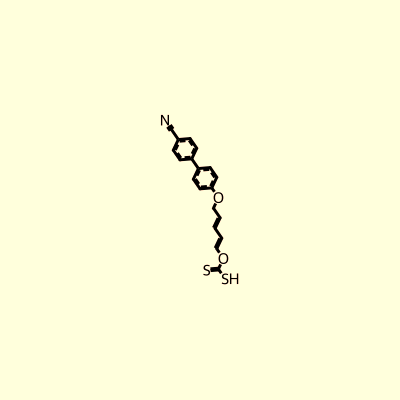 N#Cc1ccc(-c2ccc(OC/C=C/C=C/OC(=S)S)cc2)cc1